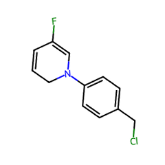 FC1=CN(c2ccc(CCl)cc2)CC=C1